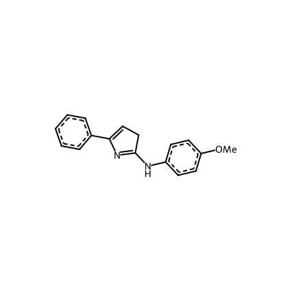 COc1ccc(NC2=NC(c3ccccc3)=CC2)cc1